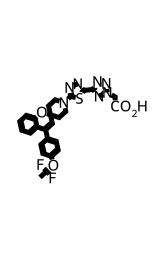 CC(F)(F)Oc1ccc(C2=CC3(CCN(c4nnc(-c5nnn(CC(=O)O)n5)s4)CC3)Oc3ccccc32)cc1